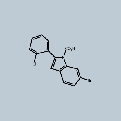 O=C(O)n1c(-c2ccccc2Cl)cc2ccc(Br)cc21